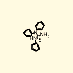 NP(=S)(Nc1ccccc1)N(c1ccccc1)c1ccccc1